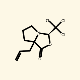 C=CCC12CCCN1[C@@H](C(Cl)(Cl)Cl)OC2=O